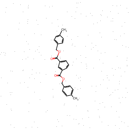 Cc1ccc(COC(=O)c2cccc(C(=O)OCc3ccc(C)cc3)c2)cc1